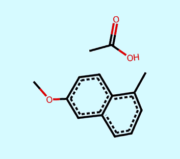 CC(=O)O.COc1ccc2c(C)cccc2c1